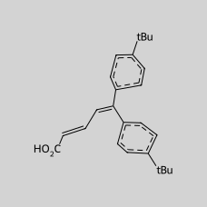 CC(C)(C)c1ccc(C(=CC=CC(=O)O)c2ccc(C(C)(C)C)cc2)cc1